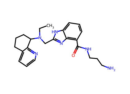 CCN(Cc1nc2c(C(=O)NCCCN)cccc2[nH]1)C1CCCc2cccnc21